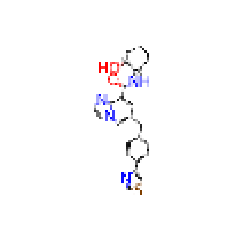 O=C(N[C@H]1CCCC[C@@H]1O)c1cc(Cc2ccc(-c3cscn3)cc2)cn2ccnc12